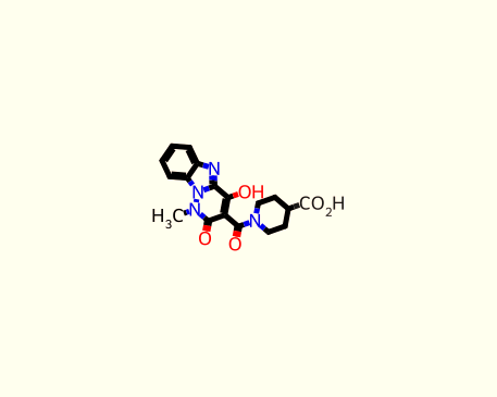 Cn1c(=O)c(C(=O)N2CCC(C(=O)O)CC2)c(O)c2nc3ccccc3n21